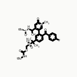 CC(N[S@@+]([O-])C(C)(C)C)c1cc(=O)n(C)cc1-c1cc(C(C)(C)S(=O)(=O)COC(=O)NC(C)(C)C)ccc1C(=O)c1ccc(F)cc1